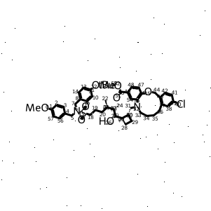 COc1ccc(CN(Cc2ccc(OC)cc2)S(=O)(=O)CCC[C@@H](C)[C@H](C)[C@H](O)[C@@H]2CC[C@H]2CN2CCCCc3cc(Cl)ccc3COc3ccc(C(=O)OC(C)(C)C)cc32)cc1